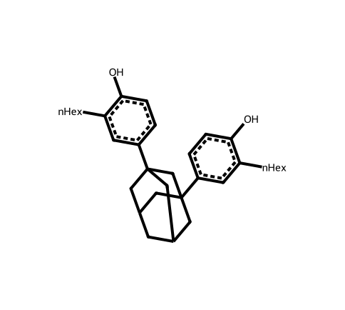 CCCCCCc1cc(C23CC4CC(C2)CC(c2ccc(O)c(CCCCCC)c2)(C4)C3)ccc1O